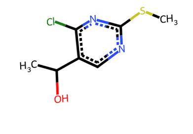 CSc1ncc(C(C)O)c(Cl)n1